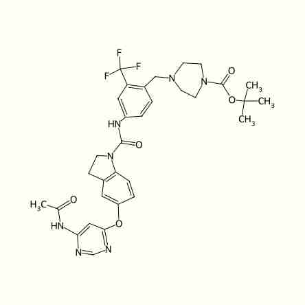 CC(=O)Nc1cc(Oc2ccc3c(c2)CCN3C(=O)Nc2ccc(CN3CCN(C(=O)OC(C)(C)C)CC3)c(C(F)(F)F)c2)ncn1